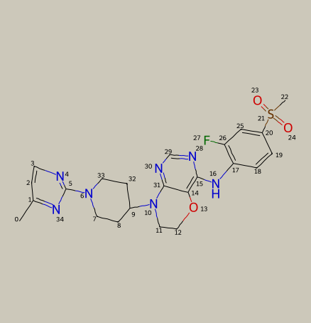 Cc1ccnc(N2CCC(N3CCOc4c(Nc5ccc(S(C)(=O)=O)cc5F)ncnc43)CC2)n1